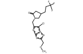 COCc1nn2c(Cl)c(CN3CC(CCC(F)(F)F)CC3=O)nc2s1